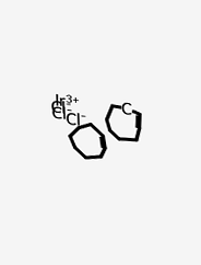 C1=CCCCCCC1.C1=CCCCCCC1.[Cl-].[Cl-].[Cl-].[Ir+3]